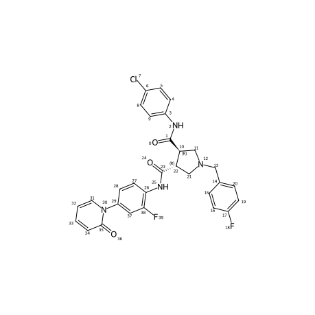 O=C(Nc1ccc(Cl)cc1)[C@H]1CN(Cc2ccc(F)cc2)C[C@@H]1C(=O)Nc1ccc(-n2ccccc2=O)cc1F